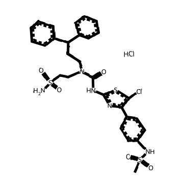 CS(=O)(=O)Nc1ccc(-c2nc(NC(=O)N(CCC(c3ccccc3)c3ccccc3)CCS(N)(=O)=O)sc2Cl)cc1.Cl